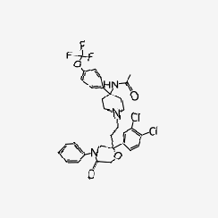 CC(=O)NC1(c2ccc(OC(F)(F)F)cc2)CCN(CCC2(c3ccc(Cl)c(Cl)c3)CN(c3ccccc3)C(=O)CO2)CC1